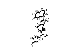 C=S(=O)(Cc1cccc(C(=O)N2CCC(C)CC2)n1)c1cccc2ccccc12